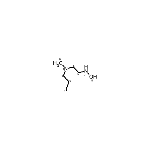 CN(CCI)CCNO